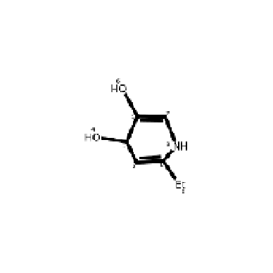 CCC1=CC(O)C(O)=CN1